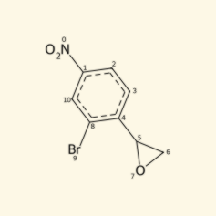 O=[N+]([O-])c1ccc(C2CO2)c(Br)c1